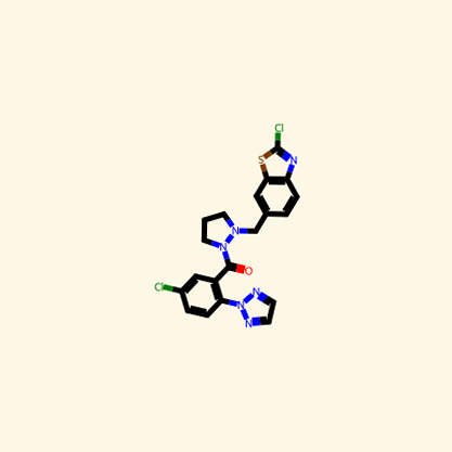 O=C(c1cc(Cl)ccc1-n1nccn1)N1CCCN1Cc1ccc2nc(Cl)sc2c1